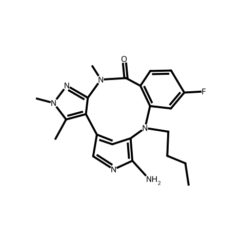 CCCCN1c2cc(F)ccc2C(=O)N(C)c2nn(C)c(C)c2-c2cnc(N)c1c2